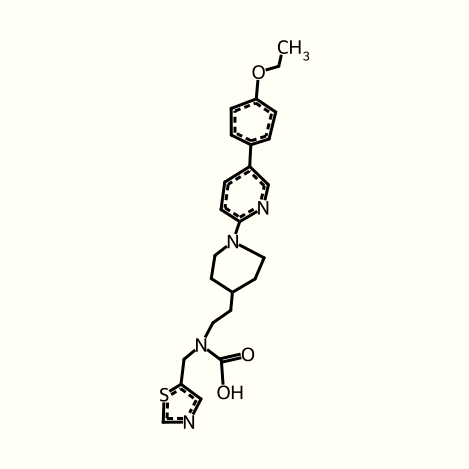 CCOc1ccc(-c2ccc(N3CCC(CCN(Cc4cncs4)C(=O)O)CC3)nc2)cc1